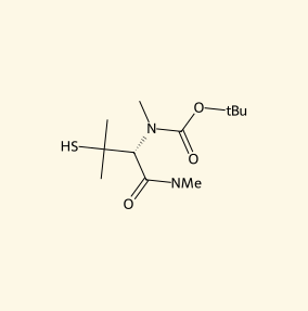 CNC(=O)[C@@H](N(C)C(=O)OC(C)(C)C)C(C)(C)S